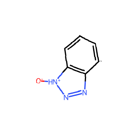 [O-][NH+]1N=Nc2[c]cccc21